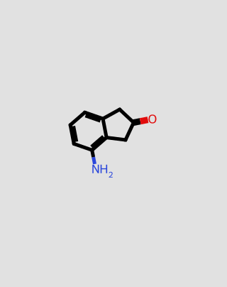 Nc1cccc2c1CC(=O)C2